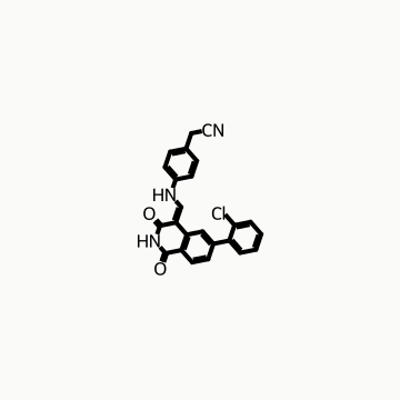 N#CCc1ccc(N/C=C2\C(=O)NC(=O)c3ccc(-c4ccccc4Cl)cc32)cc1